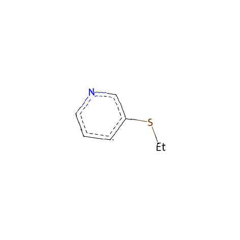 CCSc1[c]ccnc1